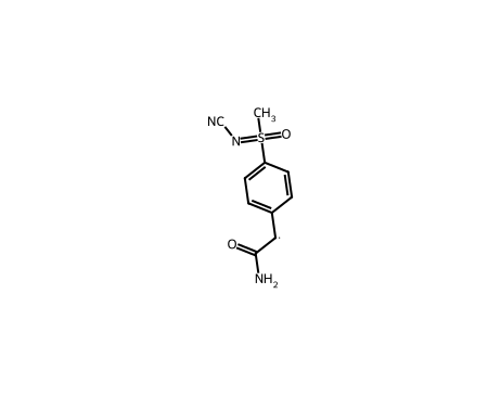 CS(=O)(=NC#N)c1ccc([CH]C(N)=O)cc1